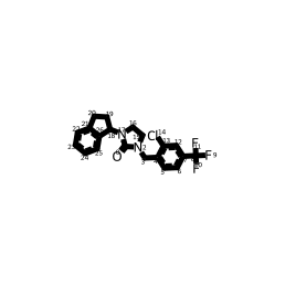 O=C1N(Cc2ccc(C(F)(F)F)cc2Cl)CCN1C1CCc2ccccc21